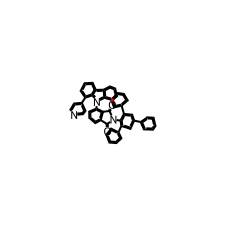 O=C1c2cccc(-n3c4ccccc4c4cccc(-c5ccncc5)c43)c2C(=O)N1c1c(-c2ccccc2)cc(-c2ccccc2)cc1-c1ccccc1